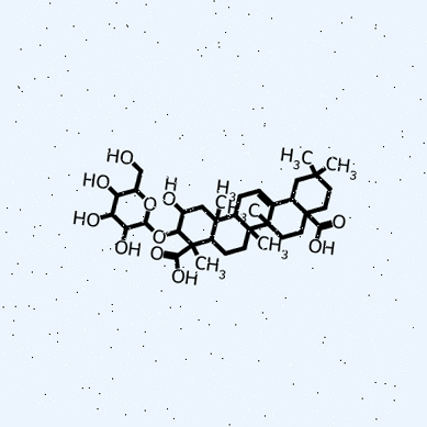 CC1(C)CCC2(C(=O)O)CCC3(C)C(=CCC4C5(C)CC(O)C(OC6OC(CO)C(O)C(O)C6O)C(C)(C(=O)O)C5CCC43C)C2C1